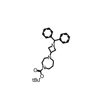 CC(C)(C)OC(=O)N1CCCN(C2CN(C(c3ccccc3)c3ccccc3)C2)CC1